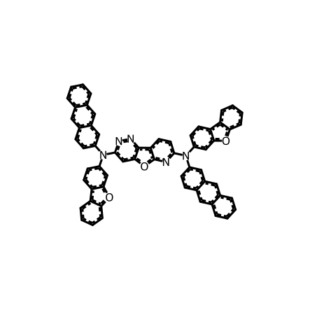 c1ccc2cc3cc(N(c4ccc5c(c4)oc4ccccc45)c4cc5oc6nc(N(c7ccc8cc9ccccc9cc8c7)c7ccc8c(c7)oc7ccccc78)ccc6c5nn4)ccc3cc2c1